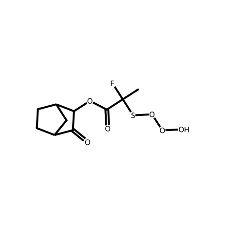 CC(F)(SOOO)C(=O)OC1C(=O)C2CCC1C2